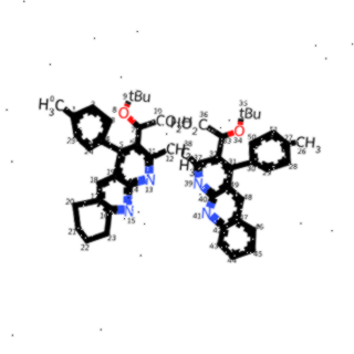 Cc1ccc(-c2c(C(OC(C)(C)C)C(=O)O)c(C)nc3nc4c(cc23)CCCC4)cc1.Cc1ccc(-c2c(C(OC(C)(C)C)C(=O)O)c(C)nc3nc4ccccc4cc23)cc1